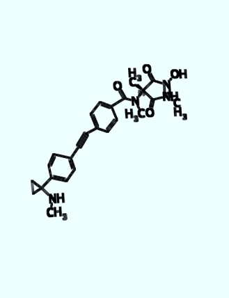 CNC(=O)[C@@](C)(C(=O)NO)N(C)C(=O)c1ccc(C#Cc2ccc(C3(NC)CC3)cc2)cc1